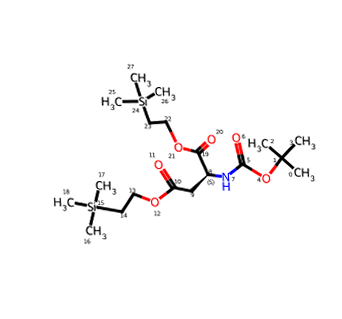 CC(C)(C)OC(=O)N[C@@H](CC(=O)OCC[Si](C)(C)C)C(=O)OCC[Si](C)(C)C